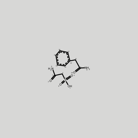 NC(=O)CS(=O)(=O)O.NC(=O)Cc1ccccc1